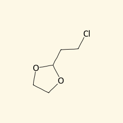 ClCCC1OCCO1